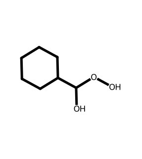 OOC(O)C1CCCCC1